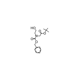 CC(C)(C)OC(=O)CN(CCO)C(=O)OCc1ccccc1